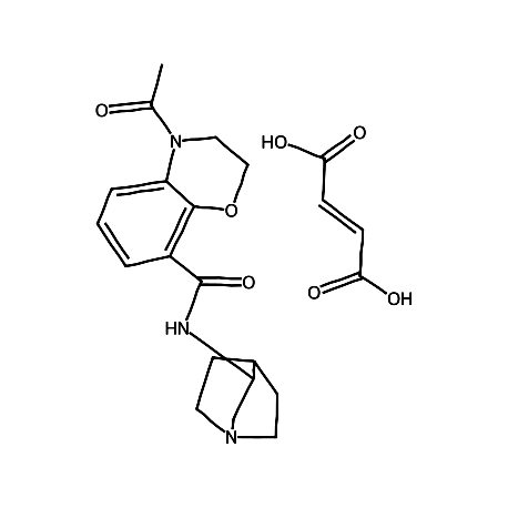 CC(=O)N1CCOc2c(C(=O)NC3CN4CCC3CC4)cccc21.O=C(O)C=CC(=O)O